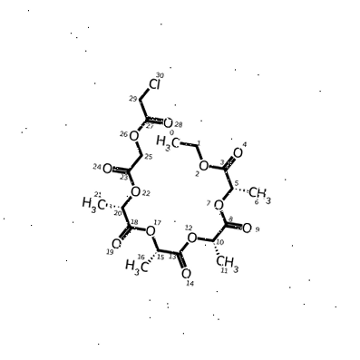 CCOC(=O)[C@H](C)OC(=O)[C@H](C)OC(=O)[C@H](C)OC(=O)[C@H](C)OC(=O)COC(=O)CCl